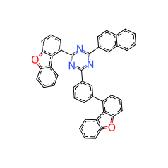 c1cc(-c2nc(-c3ccc4ccccc4c3)nc(-c3cccc4oc5ccccc5c34)n2)cc(-c2cccc3oc4ccccc4c23)c1